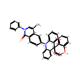 Cc1cn(-c2ccccc2)c(=O)c2ccc(N3c4ccccc4C4(c5ccccc5Oc5ccccc54)c4ccccc43)cc12